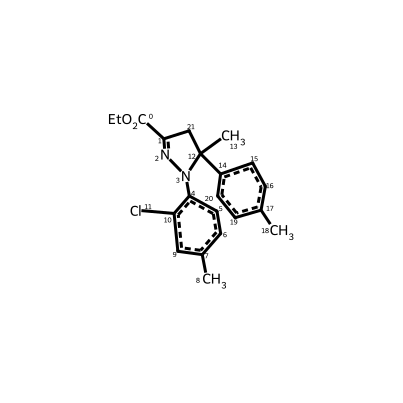 CCOC(=O)C1=NN(c2ccc(C)cc2Cl)C(C)(c2ccc(C)cc2)C1